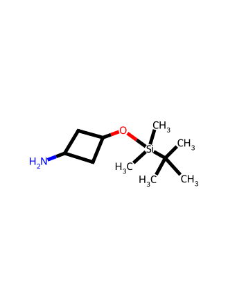 CC(C)(C)[Si](C)(C)OC1CC(N)C1